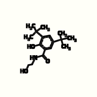 CC(C)(C)c1cc(C(=O)NCCO)c(O)c(C(C)(C)C)c1